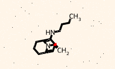 C=CN1C2=CCC(NCCCC)=C1CCC2